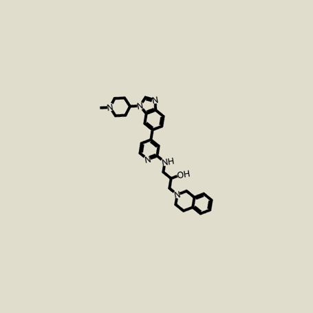 CN1CCC(n2cnc3ccc(-c4ccnc(NCC(O)CN5CCc6ccccc6C5)c4)cc32)CC1